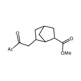 COC(=O)C1CC2CC(CC(=O)C(C)=O)C1C2